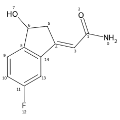 NC(=O)C=C1CC(O)c2ccc(F)cc21